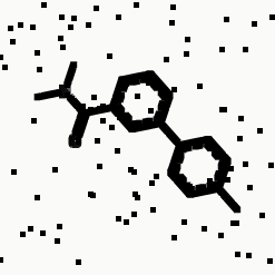 Cc1ccc(-c2cccc(C(=O)N(C)C)c2)cc1